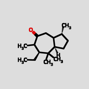 CC[C@H]1C(C)C(=O)CC2[C@H](C)CC[C@H]2C1(C)C